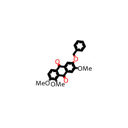 COc1cc2c(cc1OCc1ccccc1)C(=O)c1ccc(OC)c(OC)c1C2=O